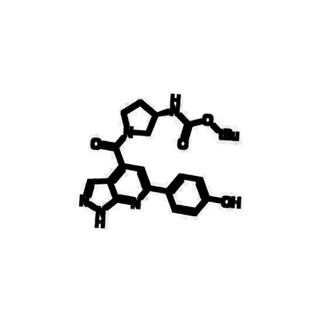 CC(C)(C)OC(=O)N[C@@H]1CCN(C(=O)c2cc(-c3ccc(O)cc3)nc3[nH]ncc23)C1